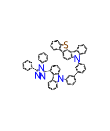 c1ccc(-c2nnc(-c3cccc4c3c3ccccc3n4-c3cccc(-c4cccc(-n5c6ccccc6c6c7sc8ccccc8c7ccc65)c4)c3)n2-c2ccccc2)cc1